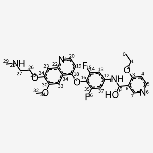 CCOc1ccncc1C(O)Nc1cc(F)c(Oc2ccnc3cc(OCCNC)c(OC)cc23)c(F)c1